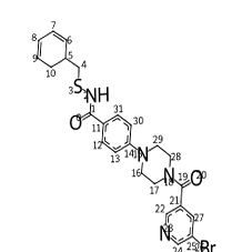 O=C(NSCC1C=CC=CC1)c1ccc(N2CCN(C(=O)c3cncc(Br)c3)CC2)cc1